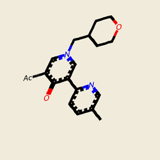 CC(=O)c1cn(CC2CCOCC2)cc(-c2ccc(C)cn2)c1=O